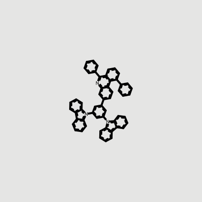 c1ccc(-c2nc3cc(-c4cc(-n5c6ccccc6c6ccccc65)cc(-n5c6ccccc6c6ccccc65)c4)ccc3c3c(-c4ccccc4)cccc23)cc1